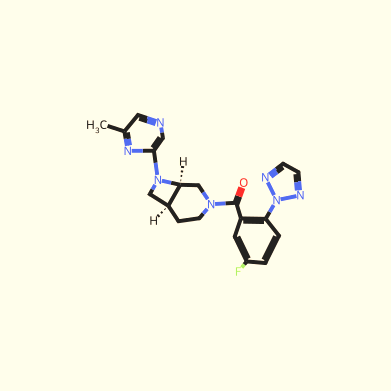 Cc1cncc(N2C[C@@H]3CCN(C(=O)c4cc(F)ccc4-n4nccn4)C[C@@H]32)n1